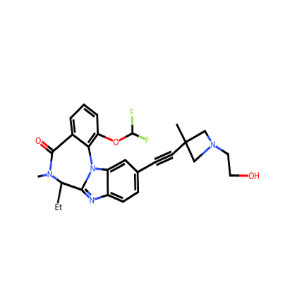 CCC1c2nc3ccc(C#CC4(C)CN(CCO)C4)cc3n2-c2c(OC(F)F)cccc2C(=O)N1C